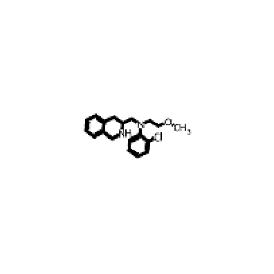 COCCN(CC1Cc2ccccc2CN1)c1ccccc1Cl